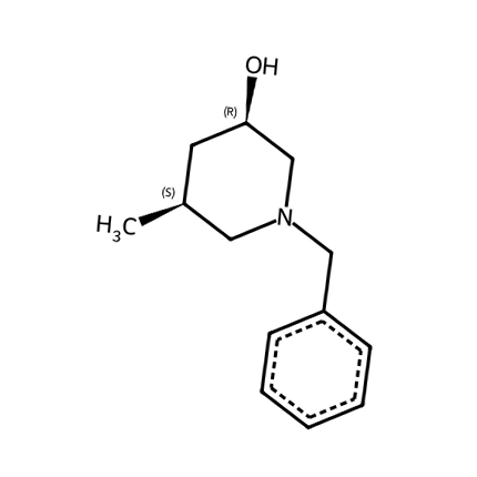 C[C@H]1C[C@@H](O)CN(Cc2ccccc2)C1